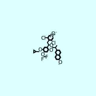 COc1ccc2cc(C(C)C(=O)OC(Cc3c(Cl)c[n+]([O-])cc3Cl)c3ccc(OC(F)F)c(OCC4CC4)c3)ccc2c1